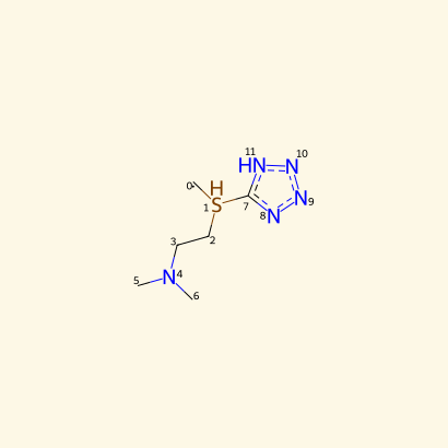 [CH2][SH](CCN(C)C)c1nnn[nH]1